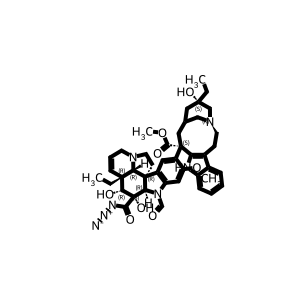 CC[C@]1(O)CC2C[N@](CCc3c([nH]c4ccccc34)[C@@](C(=O)OC)(c3cc4c(cc3OC)N(C=O)[C@H]3[C@@](O)(C(=O)N=[N+]=[N-])[C@H](O)[C@]5(CC)C=CCN6CC[C@]43[C@@H]65)C2)C1